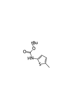 Cc1ccc(NC(=O)OC(C)(C)C)s1